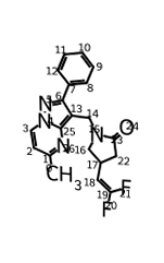 Cc1ccn2nc(-c3ccccc3)c(CN3CC(C=C(F)F)CC3=O)c2n1